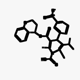 CC1=C(C(=O)OC2CCOc3ccccc32)C(c2cccc([N+](=O)[O-])c2)C(C(C)C)=C(C)N1C(=O)O